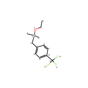 CCO[Si](C)(C)Cc1ccc(C(F)(F)F)cc1